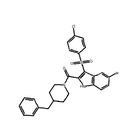 O=C(c1[nH]c2ccc(Br)cc2c1S(=O)(=O)c1ccc(Cl)cc1)N1CCC(Cc2ccccc2)CC1